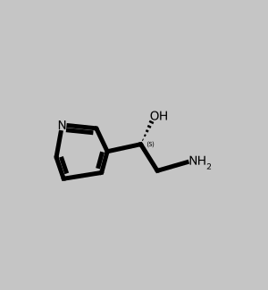 NC[C@@H](O)c1cccnc1